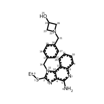 CCSc1nc2c(N)nc3ccccc3c2n1Cc1ccc(CN2CC(O)C2)cc1